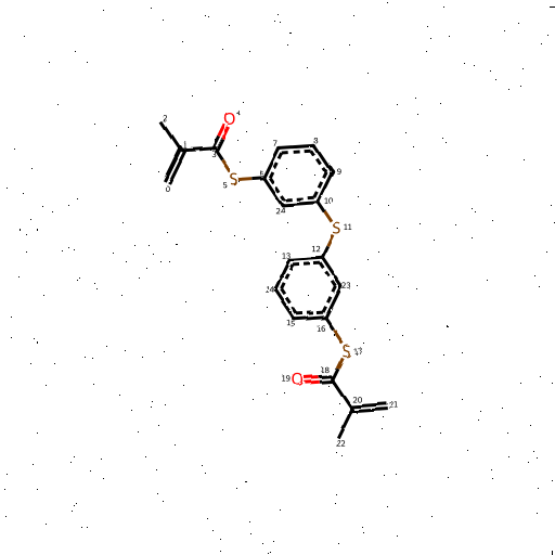 C=C(C)C(=O)Sc1cccc(Sc2cccc(SC(=O)C(=C)C)c2)c1